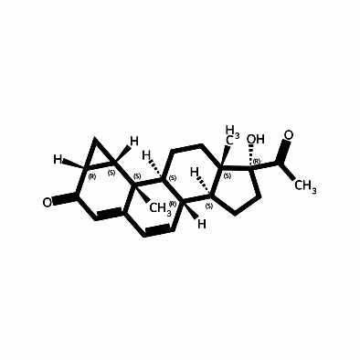 CC(=O)[C@@]1(O)CC[C@H]2[C@@H]3C=CC4=CC(=O)[C@@H]5C[C@@H]5[C@]4(C)[C@H]3CC[C@@]21C